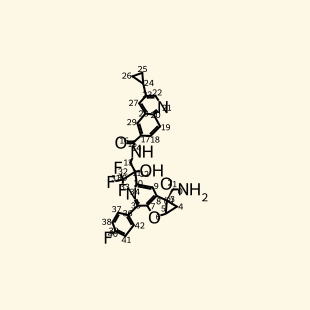 NC(=O)[C@@]12CC1Oc1c2cc(C(O)(CNC(=O)c2ccc3ncc(C4CC4)cc3c2)C(F)(F)F)nc1-c1ccc(F)cc1